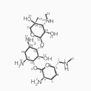 CNC[C@@H]1CC[C@@H](N)C(O[C@H]2[C@H](O)[C@@H](O[C@H]3OC[C@](C)(O)[C@H](NC)[C@H]3O)[C@H](N)C[C@@H]2N)O1